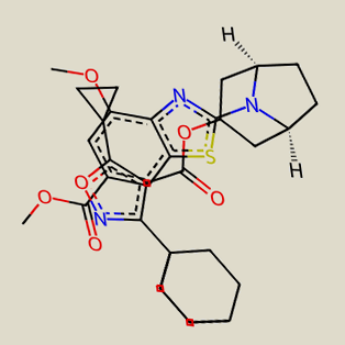 COC(=O)c1cc(OC)c2nc(N3[C@@H]4CC[C@H]3CC(OC(=O)c3c(C56CCC(CC5)CC6)noc3C3CC3)C4)sc2c1